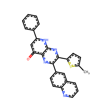 Cc1ccc(-c2nc3[nH]c(-c4ccccc4)cc(=O)c3nc2-c2ccc3ncccc3c2)s1